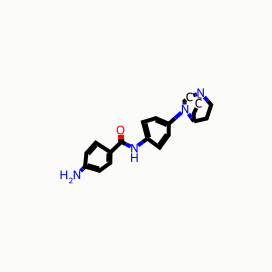 Nc1ccc(C(=O)Nc2ccc(N3CCN4CCC3CC4)cc2)cc1